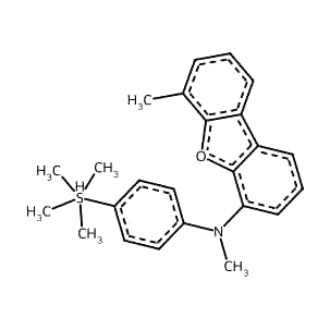 Cc1cccc2c1oc1c(N(C)c3ccc([SH](C)(C)(C)C)cc3)cccc12